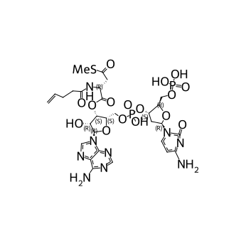 C=CCCC(=O)N[C@H](CC(=O)SC)C(=O)O[C@H]1[C@@H](O)[C@H](n2cnc3c(N)ncnc32)O[C@H]1COP(=O)(O)O[C@H]1C[C@H](n2ccc(N)nc2=O)O[C@@H]1COP(=O)(O)O